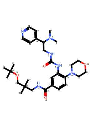 CN(C)C(CNC(=O)Nc1cc(C(=O)NCC(C)(C)COC(C)(C)C)ccc1N1CCOCC1)c1ccncc1